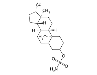 CC(=O)[C@H]1CC[C@H]2[C@@H]3CC=C4CC(OS(N)(=O)=O)CC[C@]4(C)[C@H]3CC[C@]12C